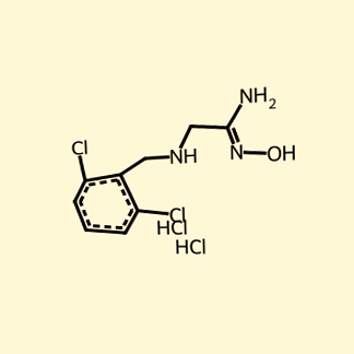 Cl.Cl.NC(CNCc1c(Cl)cccc1Cl)=NO